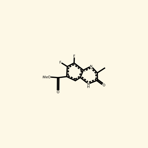 COC(=O)c1cc2[nH]c(=O)c(C)nc2c(F)c1F